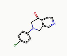 O=C1CN(c2ccc(Cl)cc2)Cc2cnccc21